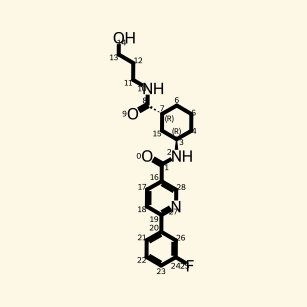 O=C(N[C@@H]1CCC[C@@H](C(=O)NCCCO)C1)c1ccc(-c2cccc(F)c2)nc1